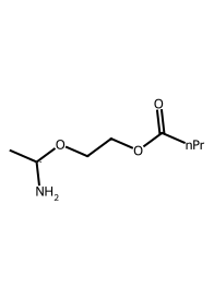 CCCC(=O)OCCO[C](C)N